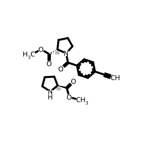 C#Cc1ccc(C(=O)N2CCC[C@H]2C(=O)OC)cc1.COC(=O)[C@@H]1CCCN1